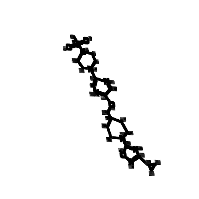 CS(=O)(=O)N1CCN(c2cnc(OCC3CCN(c4nc(C5CC5)no4)CC3)cn2)CC1